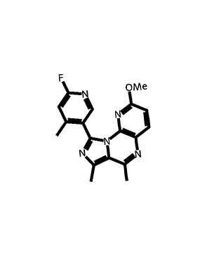 COc1ccc2nc(C)c3c(C)nc(-c4cnc(F)cc4C)n3c2n1